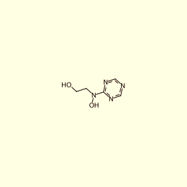 OCCN(O)c1ncncn1